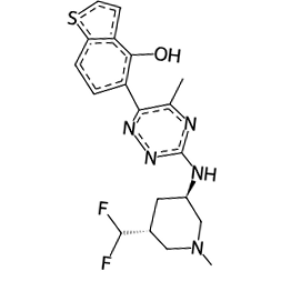 Cc1nc(N[C@@H]2C[C@@H](C(F)F)CN(C)C2)nnc1-c1ccc2sccc2c1O